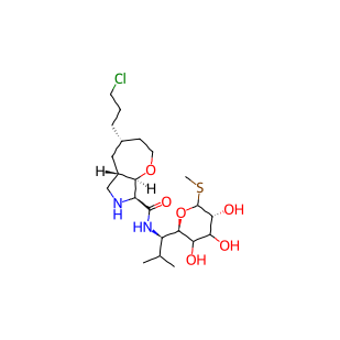 CSC1O[C@H]([C@H](NC(=O)[C@H]2NC[C@@H]3C[C@H](CCCCl)CCO[C@H]32)C(C)C)C(O)C(O)[C@H]1O